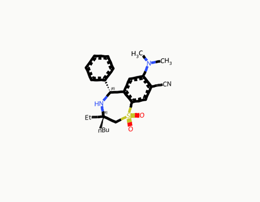 CCCC[C@]1(CC)CS(=O)(=O)c2cc(C#N)c(N(C)C)cc2[C@@H](c2ccccc2)N1